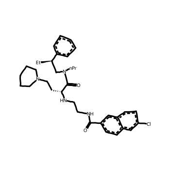 CCCN(C[C@@H](CC)c1ccccc1)C(=O)[C@@H](CCN1CCCCC1)NCCNC(=O)c1ccc2cc(Cl)ccc2c1